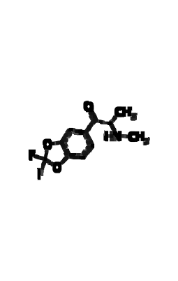 CNC(C)C(=O)c1ccc2c(c1)OC(F)(F)O2